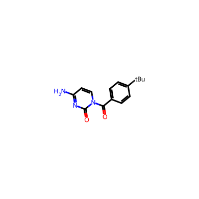 CC(C)(C)c1ccc(C(=O)n2ccc(N)nc2=O)cc1